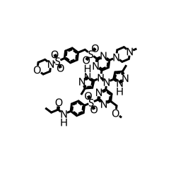 CCC(=O)Nc1ccc(S(=O)(=O)c2nc(COC)cc(N(c3cc(C)n[nH]3)N(c3cc(N4CCN(C)CC4)nc(S(=O)(=O)Cc4ccc(S(=O)(=O)N5CCOCC5)cc4)n3)c3cc(C)n[nH]3)n2)cc1